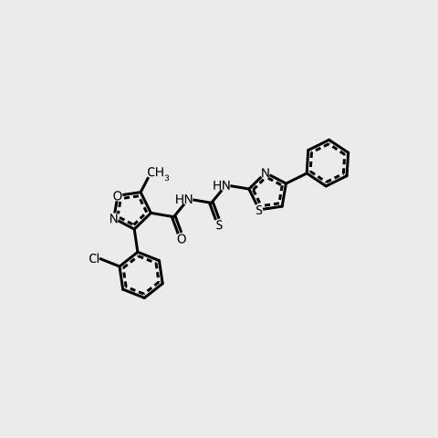 Cc1onc(-c2ccccc2Cl)c1C(=O)NC(=S)Nc1nc(-c2ccccc2)cs1